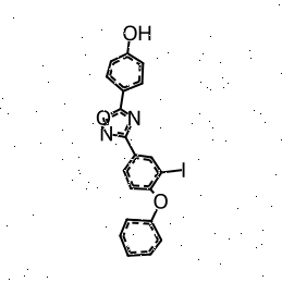 Oc1ccc(-c2nc(-c3ccc(Oc4ccccc4)c(I)c3)no2)cc1